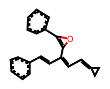 C(=Cc1ccccc1)C(=CC=C1CC1)C1=C(c2ccccc2)O1